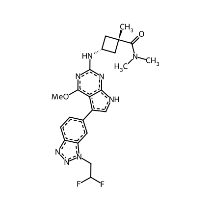 COc1nc(N[C@H]2C[C@@](C)(C(=O)N(C)C)C2)nc2[nH]cc(-c3ccc4nnn(CC(F)F)c4c3)c12